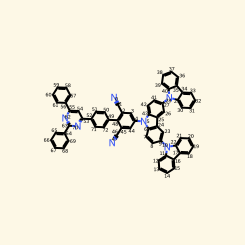 N#Cc1cc(-n2c3ccc(-n4c5ccccc5c5ccccc54)cc3c3cc(-n4c5ccccc5c5ccccc54)ccc32)cc(C#N)c1-c1ccc(-c2cc(-c3ccccc3)nc(-c3ccccc3)n2)cc1